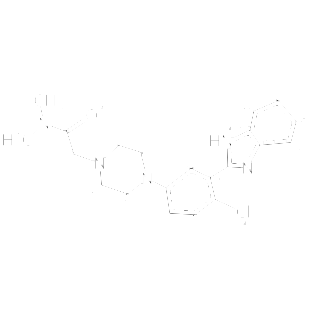 CN(C)C(=O)CN1CCN(c2ccc(Cl)c(-c3nc4ccccc4[nH]3)c2)CC1